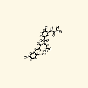 CCNC(=O)Nc1cc(S(=O)(=O)N2CC(=O)NC/C(=C\c3cc(Cl)ccc3OC)C2=O)ccc1Cl